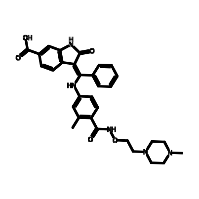 Cc1cc(NC(=C2C(=O)Nc3cc(C(=O)O)ccc32)c2ccccc2)ccc1C(=O)NOCCN1CCN(C)CC1